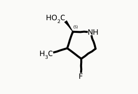 CC1C(F)CN[C@@H]1C(=O)O